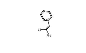 [2H]C(Cl)=Cc1ccccc1